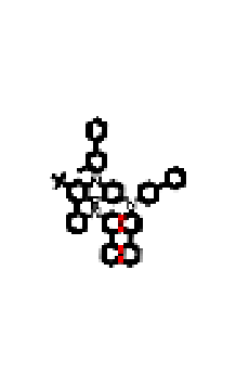 Cc1cc(-c2ccccc2)ccc1N1c2ccc(N(c3ccc(-c4ccccc4)cc3)c3ccc(-c4ccccc4)cc3)cc2B2c3c(cc(C(C)(C)C)cc31)-c1ccccc1N2c1cccc(-c2ccccc2)c1